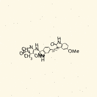 COc1ccc2c(c1)[C@]1(C[C@H]1c1ccc3c(Nc4ncc(P(C)(C)=O)cc4OC)n[nH]c3c1)C(=O)N2